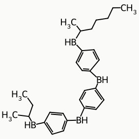 CCCCCC(C)Bc1ccc(Bc2ccc(Bc3ccc(BC(C)CC)cc3)cc2)cc1